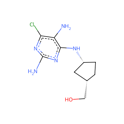 Nc1nc(Cl)c(N)c(N[C@@H]2CC[C@H](CO)C2)n1